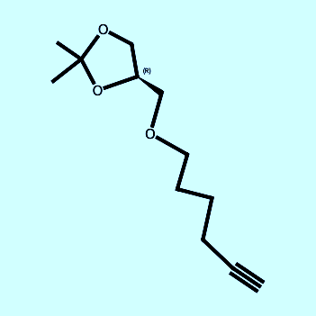 C#CCCCCOC[C@@H]1COC(C)(C)O1